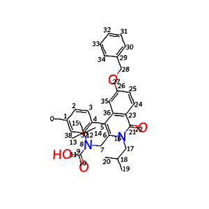 Cc1ccc(-c2c(CN(C(=O)O)C(C)(C)C)n(CC(C)C)c(=O)c3ccc(OCc4ccccc4)cc23)cc1